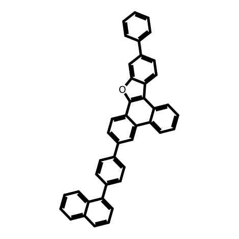 c1ccc(-c2ccc3c(c2)oc2c4ccc(-c5ccc(-c6cccc7ccccc67)cc5)cc4c4ccccc4c32)cc1